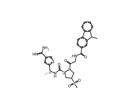 CC1c2ccccc2-c2ccc(C(=O)NCC(=O)N3CC(S(C)(=O)=O)C[C@H]3C(=O)N[C@H](C)c3cc(C(=N)N)cs3)cc21